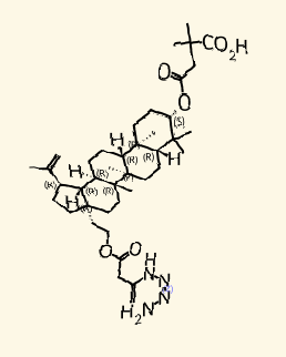 C=C(CC(=O)OCC[C@]12CC[C@@H](C(=C)C)[C@@H]1[C@H]1CC[C@@H]3[C@@]4(C)CC[C@H](OC(=O)CC(C)(C)C(=O)O)C(C)(C)[C@@H]4CC[C@@]3(C)[C@]1(C)CC2)N/N=N\N